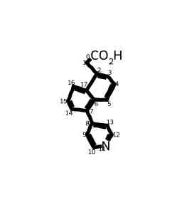 O=C(O)Cc1cccc2c(-c3ccncc3)cccc12